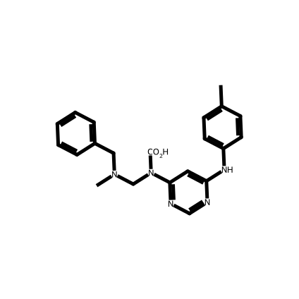 Cc1ccc(Nc2cc(N(CN(C)Cc3ccccc3)C(=O)O)ncn2)cc1